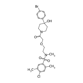 Cc1cc(S(=O)(=O)N(C)CCOCC(=O)N2CCC(O)(c3ccc(Br)cc3)CC2)c(C)cc1Cl